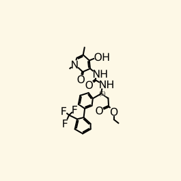 CCOC(=O)C[C@H](NC(=O)Nc1c(O)c(C)cn(C)c1=O)c1cccc(-c2ccccc2C(F)(F)F)c1